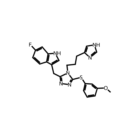 COc1cccc(Sc2nnc(Cc3c[nH]c4cc(F)ccc34)n2CCCc2c[nH]cn2)c1